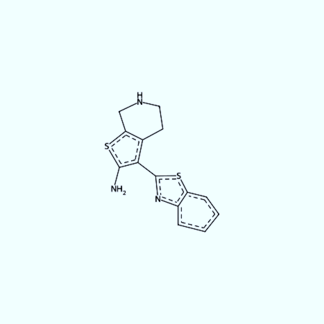 Nc1sc2c(c1-c1nc3ccccc3s1)CCNC2